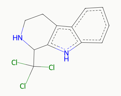 ClC(Cl)(Cl)C1NCCc2c1[nH]c1ccccc21